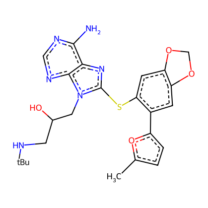 Cc1ccc(-c2cc3c(cc2Sc2nc4c(N)ncnc4n2CC(O)CNC(C)(C)C)OCO3)o1